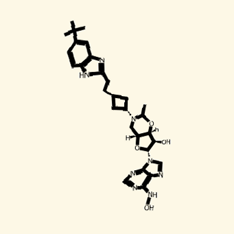 CC1O[C@H]2[C@@H](O)[C@H](n3cnc4c(NO)ncnc43)O[C@@H]2CN1[C@H]1C[C@H](CCc2nc3cc(C(C)(C)C)ccc3[nH]2)C1